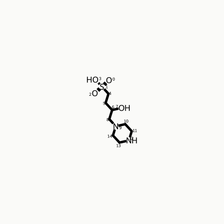 O=S(=O)(O)CCC(O)CN1CCNCC1